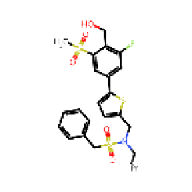 CC(C)CN(Cc1ccc(-c2cc(F)c(CO)c(S(C)(=O)=O)c2)s1)S(=O)(=O)Cc1ccccc1